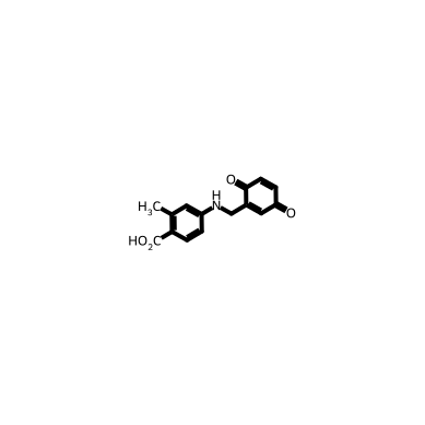 Cc1cc(NCC2=CC(=O)C=CC2=O)ccc1C(=O)O